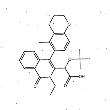 CCn1c(C(OC(C)(C)C)C(=O)O)c(-c2ccc3c(c2C)CCCO3)c2ccccc2c1=O